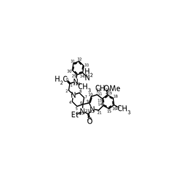 C=C(CN1CCC2(CC1)C1=C[C@H](C)c3c(cc(C)cc3OC)CN1C(=O)N2CC)N(C)c1ccccc1N